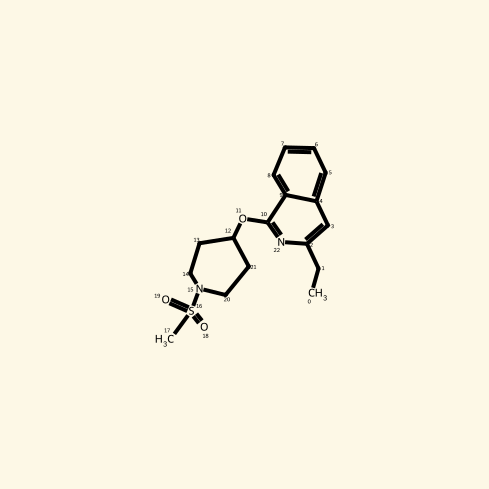 CCc1cc2ccccc2c(OC2CCN(S(C)(=O)=O)CC2)n1